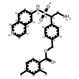 Cc1ccc(C(=O)OCc2ccc(C(CN)S(=O)(=O)Nc3ccc4cnccc4c3)cc2)c(C)c1